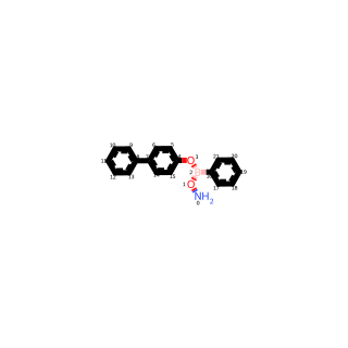 NOB(Oc1ccc(-c2ccccc2)cc1)c1ccccc1